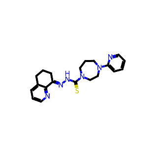 S=C(N/N=C1\CCCc2cccnc21)N1CCCN(c2ccccn2)CC1